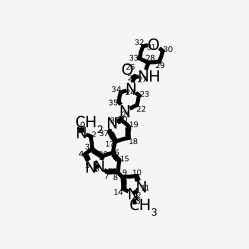 C=NCc1cnn2cc(-c3cnn(C)c3)cc(-c3ccc(N4CCN(C(=O)NC5CCOCC5)CC4)nc3)c12